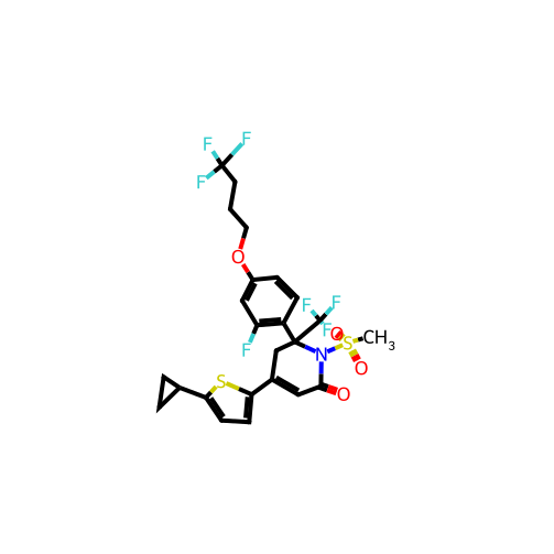 CS(=O)(=O)N1C(=O)C=C(c2ccc(C3CC3)s2)CC1(c1ccc(OCCCC(F)(F)F)cc1F)C(F)(F)F